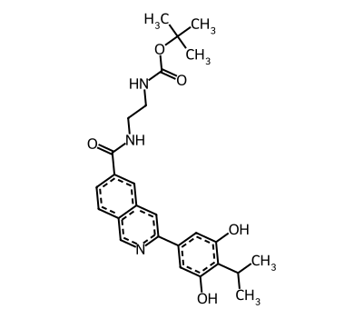 CC(C)c1c(O)cc(-c2cc3cc(C(=O)NCCNC(=O)OC(C)(C)C)ccc3cn2)cc1O